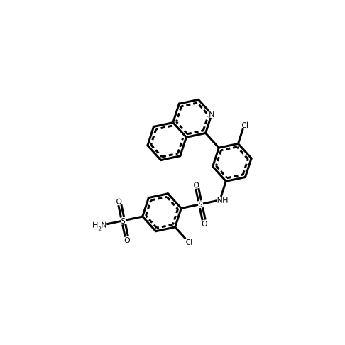 NS(=O)(=O)c1ccc(S(=O)(=O)Nc2ccc(Cl)c(-c3nccc4ccccc34)c2)c(Cl)c1